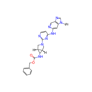 CC(C)n1cnc2cnc(Nc3ccnc(N4C[C@@H]5C(NC(=O)OCc6ccccc6)[C@@H]5C4)n3)cc21